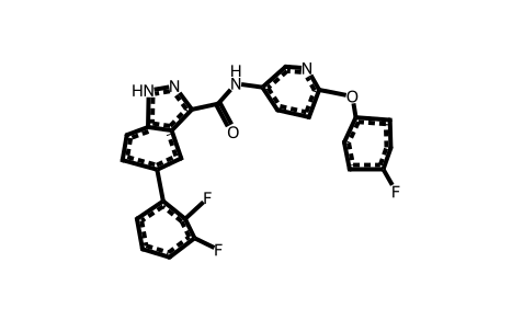 O=C(Nc1ccc(Oc2ccc(F)cc2)nc1)c1n[nH]c2ccc(-c3cccc(F)c3F)cc12